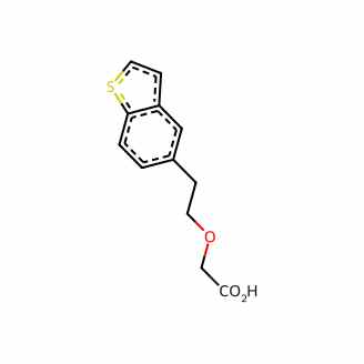 O=C(O)COCCc1ccc2sccc2c1